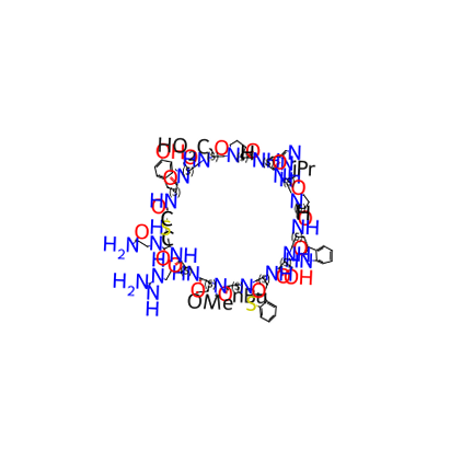 CCCC[C@H]1C(=O)N(C)[C@@H](CCOC)C(=O)N[C@@H](CCCNC(=N)N)C(=O)NC(C(=O)NCC(N)=O)CSCC(=O)N[C@@H](Cc2ccc(O)cc2)C(=O)N(C)[C@@H](C)C(=O)N[C@@H](CC(=O)O)C(=O)N2CCC[C@H]2C(=O)N[C@@H](Cc2cnc[nH]2)C(=O)N[C@@H](CC(C)C)C(=O)N2CCC[C@H]2C(=O)N[C@@H](Cc2c[nH]c3ccccc23)C(=O)N[C@@H](CO)C(=O)N[C@@H](Cc2csc3ccccc23)C(=O)N1C